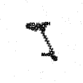 COc1cc(CCCCCCCCCCCCCCC(=O)Cc2c(-c3ccc(OCCN4CCC[C@H]4C(=O)O)cc3)sc3cc(O)ccc23)ccc1CN1CCOCC1